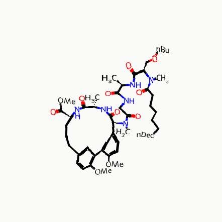 CCCCCCCCCCCCCCCC(=O)N(C)[C@H](COCCCC)C(=O)N[C@H](C)C(=O)NCC(=O)N(C)[C@@H]1C(=O)N[C@@H](C)C(=O)N[C@H](C(=O)OC)CCCc2ccc(OC)c(c2)-c2cc1ccc2OC